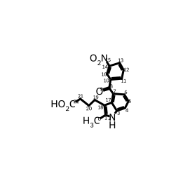 Cc1[nH]c2cccc(C(=O)c3cccc([N+](=O)[O-])c3)c2c1CCCC(=O)O